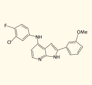 COc1cccc(-c2cc3c(Nc4ccc(F)c(Cl)c4)ccnc3[nH]2)c1